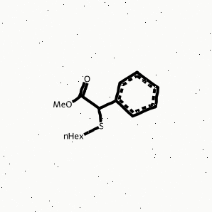 CCCCCCSC(C(=O)OC)c1ccccc1